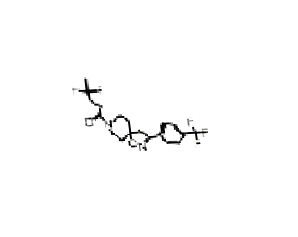 CC(F)(F)CCC(=O)N1CCC2(CC1)CC(c1ccc(C(F)(F)F)cc1)=NO2